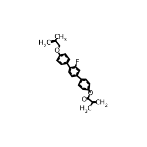 C=C(C)COc1ccc(-c2ccc(-c3ccc(OC(=O)C(=C)C)cc3)cc2F)cc1